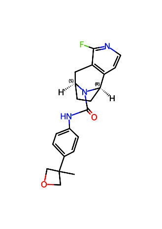 CC1(c2ccc(NC(=O)N3[C@H]4CC[C@@H]3c3ccnc(F)c3C4)cc2)COC1